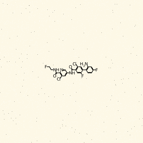 Nc1cc(F)ccc1-c1cc(Cl)c(C(=O)Nc2cnc(C(=O)NCCF)c(Cl)c2)cc1F